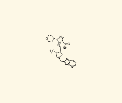 CC1CN(Cc2cn3ncccc3n2)CC1c1nn2c(C3CCOCC3)ncc2c(=O)[nH]1